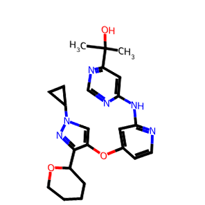 CC(C)(O)c1cc(Nc2cc(Oc3cn(C4CC4)nc3C3CCCCO3)ccn2)ncn1